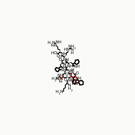 N=C(N)NCCC[C@H](NC(=O)[C@H](CCCNC(=N)N)NC(=O)[C@H](Cc1c[nH]c2ccccc12)NC(=O)[C@H](Cc1c[nH]c2ccccc12)NC(=O)[C@H](CCCCN)NC(=O)[C@H](Cc1c[nH]c2ccccc12)NC(=O)[C@H](Cc1c[nH]c2ccccc12)NC(=O)[C@H](CCCNC(=N)N)NC(=O)[C@@H](N)CCCCN)C(=O)O